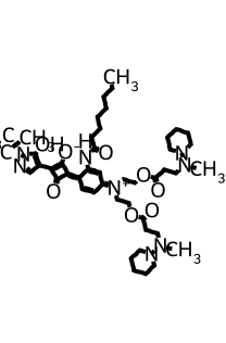 CCCCCCCC(=O)NC1=CC(=[N+](CCOC(=O)CCN(C)N2CCCCC2)CCOC(=O)CCN(C)N2CCCCC2)C=C/C1=C1\C(=O)C(c2cnn(C(C)(C)C)c2O)=C1[O-]